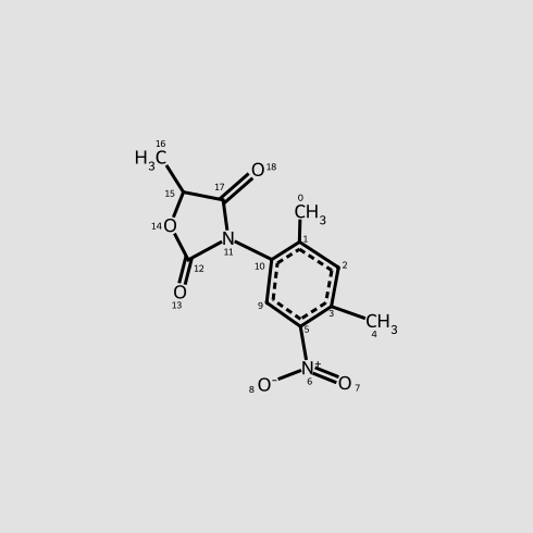 Cc1cc(C)c([N+](=O)[O-])cc1N1C(=O)OC(C)C1=O